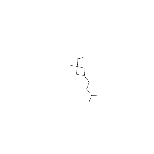 COC1(C)CC(CCC(C)C)C1